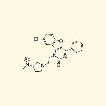 CC(=O)N(C)C1CCN(CCn2c(=O)nc(-c3ccccc3)c3oc4ccc(Cl)cc4c32)C1